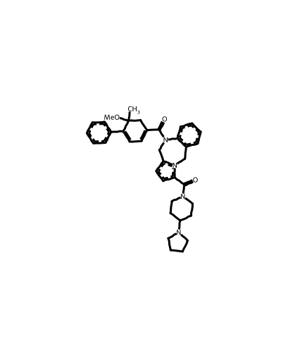 COC1(C)CC(C(=O)N2Cc3ccc(C(=O)N4CCC(N5CCCC5)CC4)n3Cc3ccccc32)=CC=C1c1ccccc1